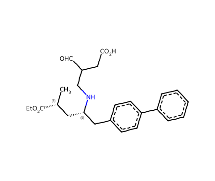 CCOC(=O)[C@H](C)C[C@@H](Cc1ccc(-c2ccccc2)cc1)NCC(C=O)CC(=O)O